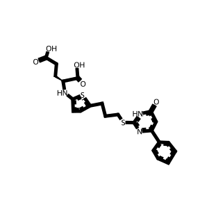 O=C(O)CC[C@H](Nc1ccc(CCCSc2nc(-c3ccccc3)cc(=O)[nH]2)s1)C(=O)O